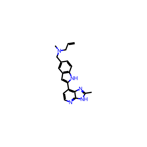 C=CCN(C)Cc1ccc2[nH]c(-c3ccnc4[nH]c(C)nc34)cc2c1